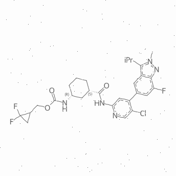 CC(C)c1c2cc(-c3cc(NC(=O)[C@H]4CCC[C@@H](NC(=O)OCC5CC5(F)F)C4)ncc3Cl)cc(F)c2nn1C